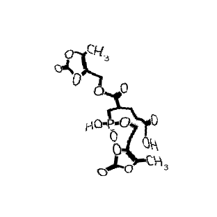 Cc1oc(=O)oc1COC(=O)C(CCC(=O)O)CP(=O)(O)OCc1oc(=O)oc1C